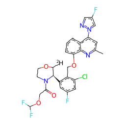 [2H]C1OCCN(C(=O)COC(F)F)[C@@H]1c1cc(F)cc(Cl)c1COc1cccc2c(-n3cc(F)cn3)cc(C)nc12